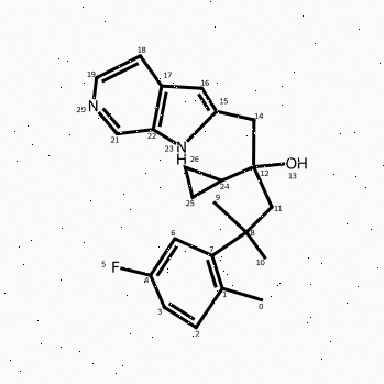 Cc1ccc(F)cc1C(C)(C)CC(O)(Cc1cc2ccncc2[nH]1)C1CC1